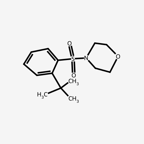 CC(C)(C)c1ccccc1S(=O)(=O)N1CCOCC1